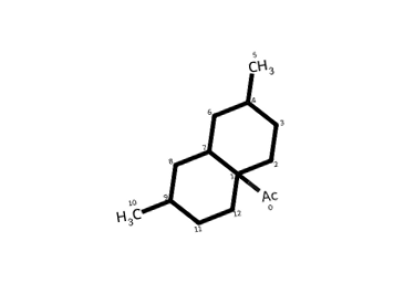 CC(=O)C12CCC(C)CC1CC(C)CC2